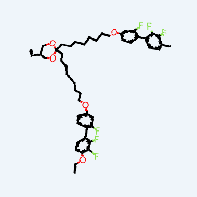 C=CC1COC(CCCCCCCCOc2ccc(-c3ccc(C)c(F)c3F)c(F)c2)(CCCCCCCCOc2ccc(-c3ccc(OCC)c(F)c3F)c(F)c2)OC1